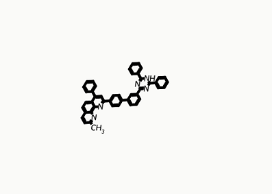 Cc1ccc2ccc3c(-c4ccccc4)cc(-c4ccc(-c5cccc(C6=NC(c7ccccc7)NC(c7ccccc7)=N6)c5)cc4)nc3c2n1